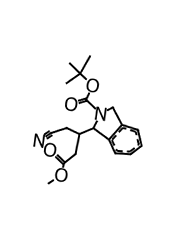 COC(=O)CC(CC#N)C1c2ccccc2CN1C(=O)OC(C)(C)C